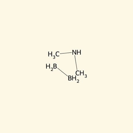 BB.CNC